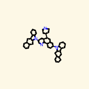 c1ccc2cc3c(cc2c1)c1ccccc1n3-c1ccc2c(c1)cc(-c1ccncc1)c1cc(-n3c4ccccc4c4cc5ccccc5cc43)cnc12